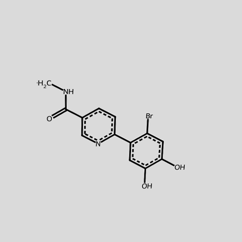 [CH2]NC(=O)c1ccc(-c2cc(O)c(O)cc2Br)nc1